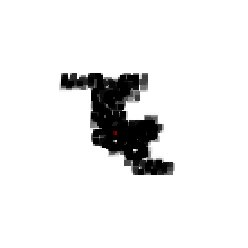 COc1ccc(C(Nc2nc3c(ncn3[C@@H]3O[C@H]([C@@H](C)O)[C@H]4OC(OC)O[C@H]43)c(=O)[nH]2)(c2ccccc2)c2ccccc2)cc1